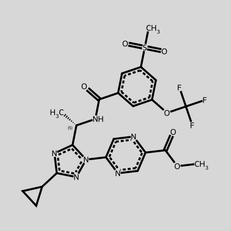 COC(=O)c1cnc(-n2nc(C3CC3)nc2[C@H](C)NC(=O)c2cc(OC(F)(F)F)cc(S(C)(=O)=O)c2)cn1